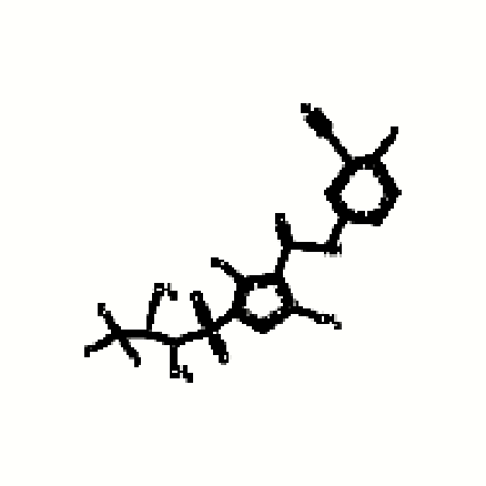 C[C@@H](N(C)S(=O)(=O)c1cn(C)c(C(=O)Nc2ccc(F)c(C#N)c2)c1Br)C(F)(F)F